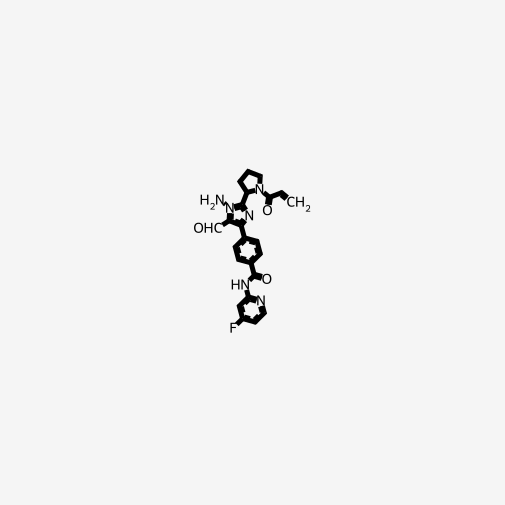 C=CC(=O)N1CCCC1c1nc(-c2ccc(C(=O)Nc3cc(F)ccn3)cc2)c(C=O)n1N